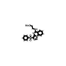 COCCNc1nc2c(S(=O)(=O)c3ccccc3)nnn2c2ccccc12